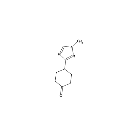 Cn1cnc(C2CCC(=O)CC2)n1